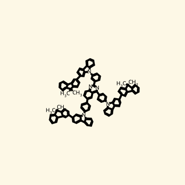 CC1(C)c2ccccc2-c2cc(-c3ccc4c5ccccc5n(-c5ccc(-c6ccc7nc(-c8cccc(-n9c%10ccccc%10c%10ccc(-c%11ccc%12c(c%11)-c%11ccccc%11C%12(C)C)cc%109)c8)nc(-c8ccc(-n9c%10ccccc%10c%10ccc(-c%11ccc%12c(c%11)-c%11ccccc%11C%12(C)C)cc%109)cc8)c7c6)cc5)c4c3)ccc21